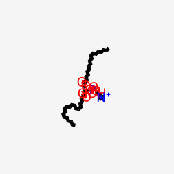 CCCCC/C=C\C/C=C\C/C=C\C/C=C\CCCC(=O)O[C@H](COC(=O)CCCCCCCCC/C=C\CCCCCC)COP(=O)(O)OCC[N+](C)(C)C